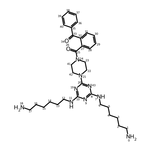 NCCCCCCNc1nc(NCCCCCCN)nc(N2CCN(C(=O)c3ccccc3C(=O)c3ccccc3)CC2)n1